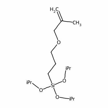 C=C(C)COCCC[Si](OC(C)C)(OC(C)C)OC(C)C